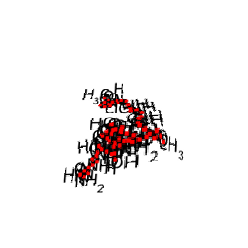 COc1ccc(C(OCC/C(C)=N\NC(=O)Nc2ccc3[nH]c(C(=O)Nc4ccc5[nH]c(C(=O)N6CC(Cl)c7c6cc(OC(C)=O)c6ccccc76)cc5c4)cc3c2)OCCN2C(=O)CC(SC[C@@H](NC(=O)[C@H](CC(=O)O)NC(=O)[C@H](CC(=O)O)NC(=O)[C@H](CCCNC(=N)N)NC(=O)[C@H](CC(=O)O)NC(=O)CC[C@H](NC(=O)c3ccc(NCc4cnc5nc(N)[nH]c(=O)c5n4)cc3)C(=O)O)C(=O)O)C2=O)cc1